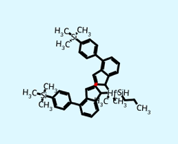 CCC[SiH]=[Hf]([CH3])([CH3])([CH]1C=Cc2c(-c3ccc([Si](C)(C)C)cc3)cccc21)[CH]1C=Cc2c(-c3ccc([Si](C)(C)C)cc3)cccc21